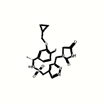 C[C@@H](NS(=O)(=O)Cc1cnnc(CN2CC(=O)NC2=O)c1)c1ccc(F)c(OCC2CC2)c1